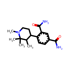 CC1C(c2ccc(C(N)=O)cc2C(N)=O)CCN(C)C1(C)C